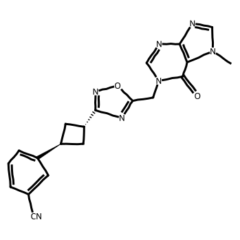 Cn1cnc2ncn(Cc3nc([C@H]4C[C@H](c5cccc(C#N)c5)C4)no3)c(=O)c21